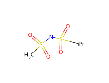 CC(C)S(=O)(=O)[N]S(C)(=O)=O